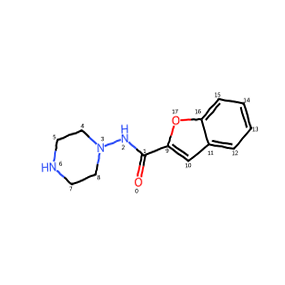 O=C(NN1CCNCC1)c1cc2ccccc2o1